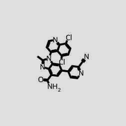 Cc1nc2c(C(N)=O)cc(-c3ccnc(C#N)c3)cc2n1-c1ccnc2c(Cl)ccc(Cl)c12